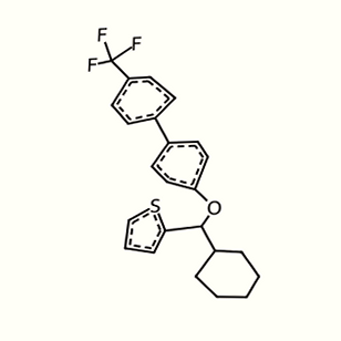 FC(F)(F)c1ccc(-c2ccc(OC(c3cccs3)C3CCCCC3)cc2)cc1